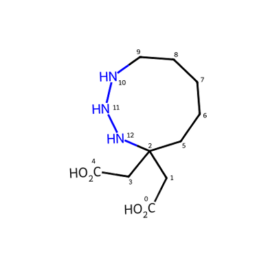 O=C(O)CC1(CC(=O)O)CCCCCNNN1